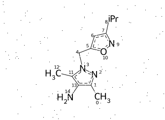 Cc1nn(Cc2cc(C(C)C)no2)c(C)c1N